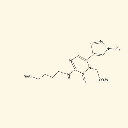 COCCCCNc1ncc(-c2cnn(C)c2)n(CC(=O)O)c1=O